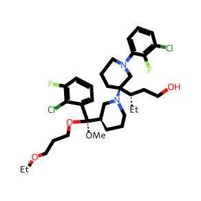 CCOCCCO[C@@](OC)(c1cccc(F)c1Cl)[C@@H]1CCCN([C@@]2([C@@H](CC)CCO)CCCN(c3cccc(Cl)c3F)C2)C1